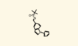 CC(C)(C)[S@@+]([O-])N=Cc1ccc2c(ccn2-c2ccccc2)c1